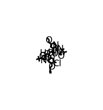 C#CCOc1cc(-n2nc(C(C)(C)C)oc2=O)c(Cl)cc1Cl.COCc1cnc(C2=NC(C)(C(C)C)C(=O)N2)c(C(=O)O)c1